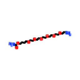 NCCOCCOCCOCCOCCOCCOCCCCOC(N)=O